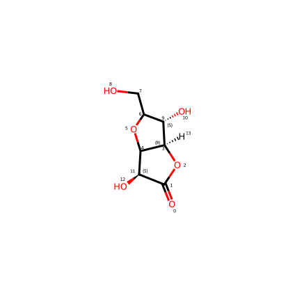 O=C1O[C@H]2C(OC(CO)[C@@H]2O)[C@@H]1O